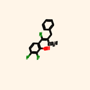 O=C(O)C(Cc1ccccc1)=C(F)c1ccc(F)c(F)c1O